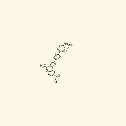 C[C@H](Oc1ccc(C(=O)C2CC2)cc1)c1cc(-c2ccc(C(=O)N[C@@H](CO)C(N)=O)c(F)c2)ns1